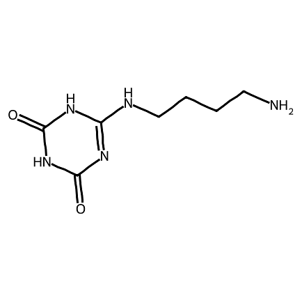 NCCCCNc1nc(=O)[nH]c(=O)[nH]1